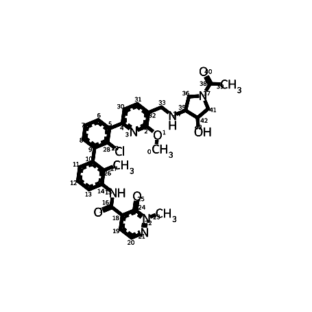 COc1nc(-c2cccc(-c3cccc(NC(=O)c4ccnn(C)c4=O)c3C)c2Cl)ccc1CNC1CN(C(C)=O)CC1O